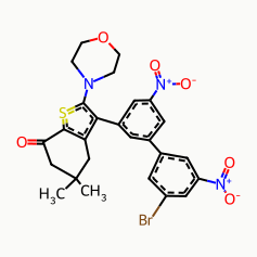 CC1(C)CC(=O)c2sc(N3CCOCC3)c(-c3cc(-c4cc(Br)cc([N+](=O)[O-])c4)cc([N+](=O)[O-])c3)c2C1